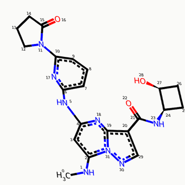 CNc1cc(Nc2cccc(N3CCCC3=O)n2)nc2c(C(=O)N[C@@H]3CC[C@@H]3O)cnn12